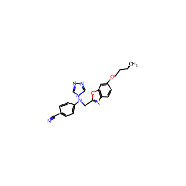 CCCCOc1ccc2nc(CN(c3ccc(C#N)cc3)n3cnnc3)oc2c1